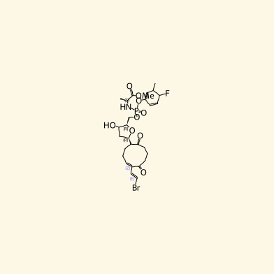 COC(=O)[C@H](C)NP(=O)(OC[C@H]1O[C@@H](C2CC/C=C(/C=C/Br)C(=O)CCCC2=O)CC1O)OC1=CC(C)C(F)C=C1